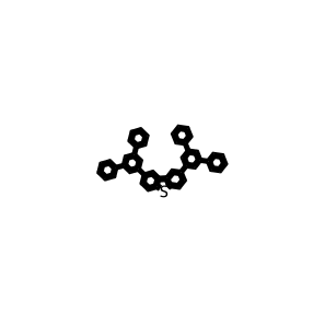 c1ccc(-c2cc(-c3ccccc3)cc(-c3ccc4sc5ccc(-c6cc(-c7ccccc7)cc(-c7ccccc7)c6)cc5c4c3)c2)cc1